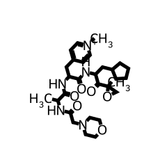 CC(NC(=O)CN1CCOCC1)C(=O)NC(Cc1cc[n+](C)cc1)C(=O)NC(CC1CCCC1)C(=O)C1(C)CO1